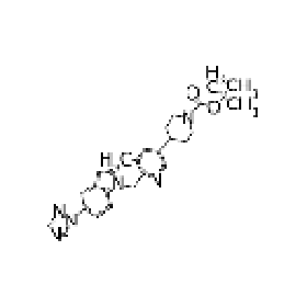 Cc1cc(C2CCN(C(=O)OC(C)(C)C)CC2)cnc1Cn1ccc2cc(-n3cncn3)ccc21